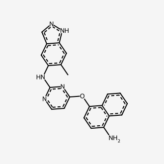 Cc1cc2[nH]ncc2cc1Nc1nccc(Oc2ccc(N)c3ccccc23)n1